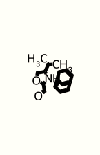 C1=Cc2cccc(c2)C1.CC(C)C1COC(C=O)N1